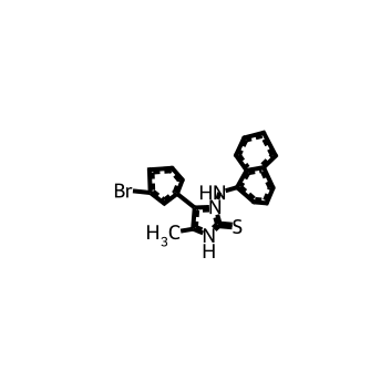 Cc1[nH]c(=S)n(Nc2cccc3ccccc23)c1-c1cccc(Br)c1